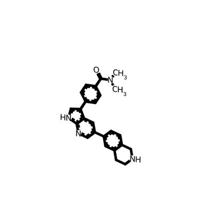 CN(C)C(=O)c1ccc(-c2c[nH]c3ncc(-c4ccc5c(c4)CCNC5)cc23)cc1